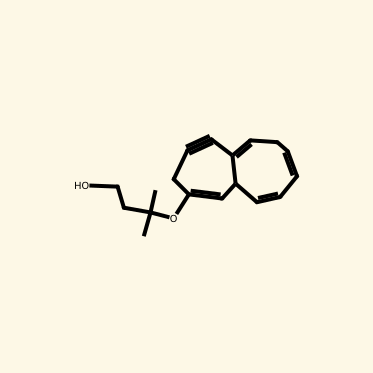 CC(C)(CCO)OC1=CC2C=C/C=C\C/C=C\2C#CC1